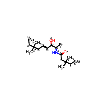 CCC(NC(=O)CC(C)(C)CC(C)(C)C)C(O)/C=C/CC(C)(C)CC(C)(C)C